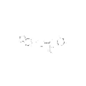 O=C(C1CCN(c2ncc3[nH]cnc3n2)CC1)N1N=CC[C@H]1c1cc(F)cc(F)c1